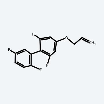 C=CCOc1cc(F)c(-c2cc(F)[c]cc2F)c(F)c1